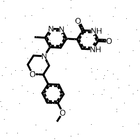 COc1ccc(C2CN(c3cc(-c4c[nH]c(=O)[nH]c4=O)nnc3C)CCO2)cc1